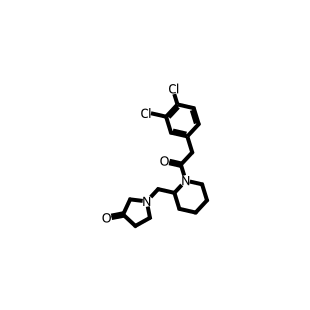 O=C1CCN(CC2CCCCN2C(=O)Cc2ccc(Cl)c(Cl)c2)C1